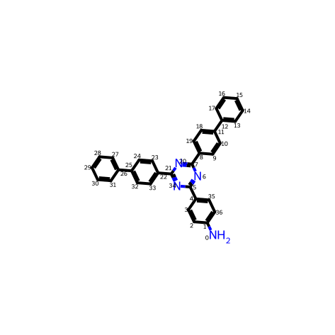 Nc1ccc(-c2nc(-c3ccc(-c4ccccc4)cc3)nc(-c3ccc(-c4ccccc4)cc3)n2)cc1